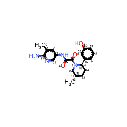 Cc1cc(NC(=O)C(=O)N2C[C@@H](C)CC[C@@H]2c2cccc(O)c2)cnc1N